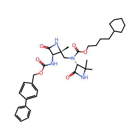 CC1(C)NC(=O)[C@@H]1N(C[C@@]1(C)NC(=O)[C@@H]1NC(=O)OCc1ccc(-c2ccccc2)cc1)C(=O)OCCCCC1CCCCC1